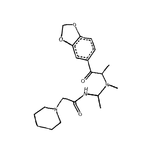 CC(NC(=O)CN1CCCCC1)N(C)C(C)C(=O)c1ccc2c(c1)OCO2